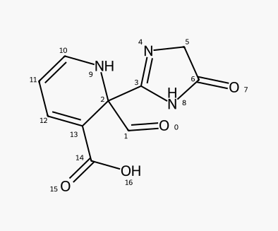 O=CC1(C2=NCC(=O)N2)NC=CC=C1C(=O)O